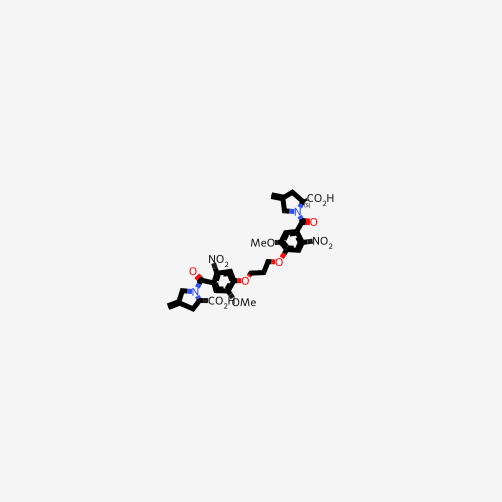 C=C1CC(C(=O)O)N(C(=O)c2cc(OC)c(OCCCOc3cc([N+](=O)[O-])c(C(=O)N4CC(=C)C[C@H]4C(=O)O)cc3OC)cc2[N+](=O)[O-])C1